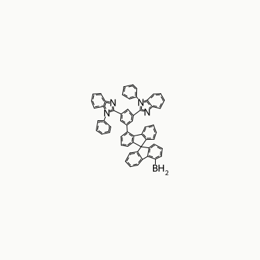 Bc1cccc2c1-c1ccccc1C21c2ccccc2-c2c(-c3cc(-c4nc5ccccc5n4-c4ccccc4)cc(-c4nc5ccccc5n4-c4ccccc4)c3)cccc21